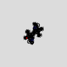 O=C1C(=O)c2ccccc2/C1=C/c1cc2c(s1)C1=CC3C=C4OC(C(=O)OCc5ccccc5)(C(=O)OCc5ccccc5)c5cc(/C=C6\C(=O)C(=O)c7ccccc76)sc5C4=CC3C=C1OC2(C(=O)OCc1ccccc1)C(=O)OCc1ccccc1